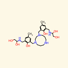 Cc1cc(CNC(O)CO)c(O)c(CN2CCCNCCCN(Cc3cc(C)cc(CNC(O)CO)c3O)CC2)c1